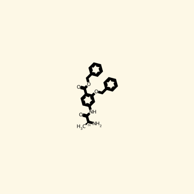 C[C@H](N)C(=O)Nc1ccc(C(=O)OCc2ccccc2)c(OCc2ccccc2)c1